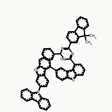 CC1(C)c2ccccc2-c2ccc(C3=NC(c4ccccc4)NC(c4cccc5oc6ccc(-c7cccc8oc9cc(-n%10c%11ccccc%11c%11ccccc%11%10)ccc9c78)cc6c45)=N3)cc21